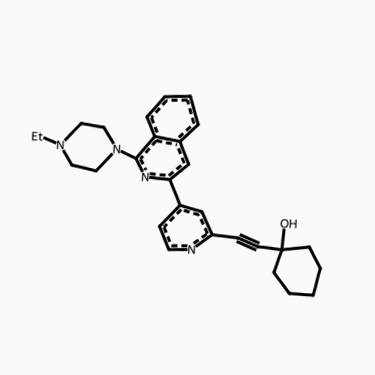 CCN1CCN(c2nc(-c3ccnc(C#CC4(O)CCCCC4)c3)cc3ccccc23)CC1